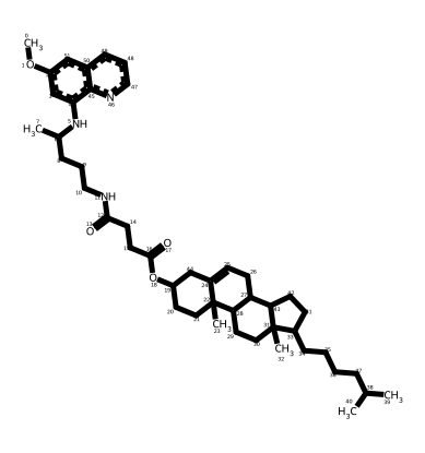 COc1cc(NC(C)CCCNC(=O)CCC(=O)OC2CCC3(C)C(=CCC4C3CCC3(C)C(CCCCC(C)C)CCC43)C2)c2ncccc2c1